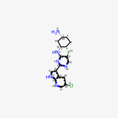 N[C@@H]1CCC[C@H](Nc2nc(-c3c[nH]c4ncc(Cl)cc34)ncc2F)C1